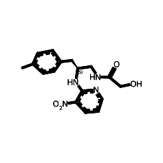 Cc1ccc(C[C@@H](CNC(=O)CO)Nc2ncccc2[N+](=O)[O-])cc1